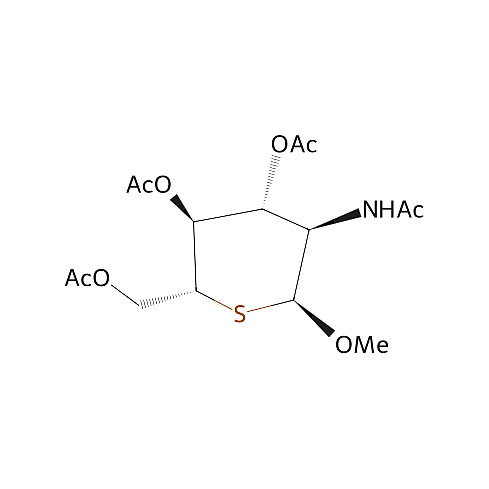 CO[C@H]1S[C@H](COC(C)=O)[C@@H](OC(C)=O)[C@H](OC(C)=O)[C@H]1NC(C)=O